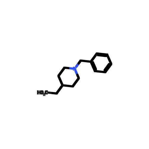 O=C(O)CC1CCN(Cc2ccccc2)CC1